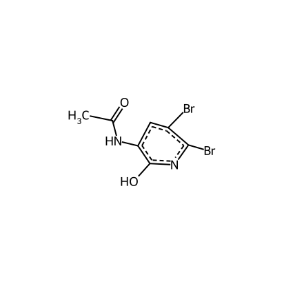 CC(=O)Nc1cc(Br)c(Br)nc1O